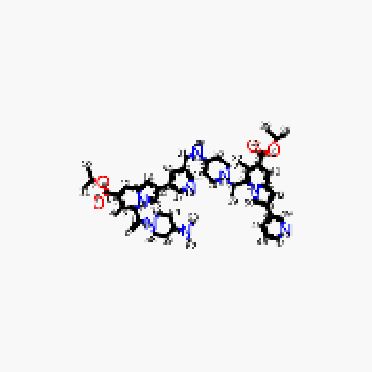 C=C(c1c(C)c(C(=O)OC(C)C)cc2cc(-c3cncc(CN(C)C4CCN(C(C)c5c(C)c(C(=O)OC(C)C)cc6cc(-c7cccnc7)cn56)CC4)c3)cn12)N1CCC(N(C)C)CC1